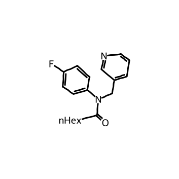 CCCCCCC(=O)N(Cc1cccnc1)c1ccc(F)cc1